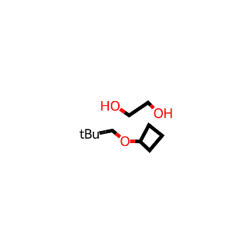 CC(C)(C)COC1CCC1.OCCO